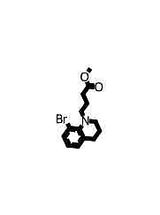 COC(=O)CCCN1CCCc2cccc(Br)c21